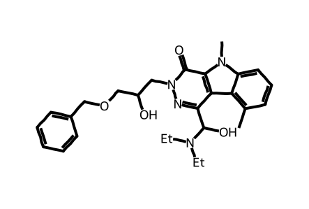 CCN(CC)C(O)c1nn(CC(O)COCc2ccccc2)c(=O)c2c1c1c(C)cccc1n2C